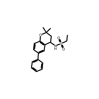 CCS(=O)(=O)NC1CC(C)(C)Oc2ccc(-c3ccccc3)cc21